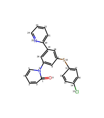 O=c1ccccn1-c1cc(Sc2ccc(Cl)cc2)cc(-c2ccccn2)c1